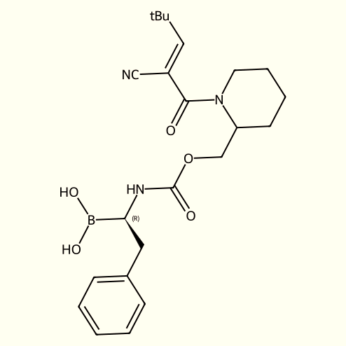 CC(C)(C)C=C(C#N)C(=O)N1CCCCC1COC(=O)N[C@@H](Cc1ccccc1)B(O)O